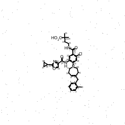 Cc1ccccc1CC1=CCCN(c2cc(Cl)c(C(=O)NCCC(C)(C)C(=O)O)cc2NC(=O)c2coc(C3CC3)n2)CC1